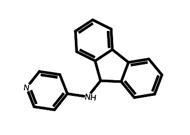 c1ccc2c(c1)-c1ccccc1C2Nc1ccncc1